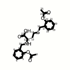 CC(=O)Oc1ccccc1CN[C@@H](CCSCc1ccccc1OC(C)=O)C(=O)O